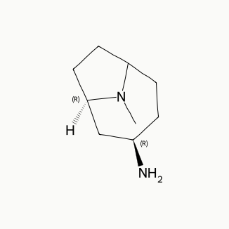 CN1C2CC[C@@H](N)C[C@H]1CC2